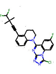 CC(C)(C#Cc1cccc2c1CCCN2c1nc2nnc(Cl)n2c2ccc(F)cc12)C(F)F